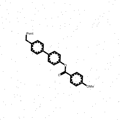 CCCC(C)Cc1ccc(-c2ccc(OC(=O)c3ccc(OC)cc3)cc2)cc1